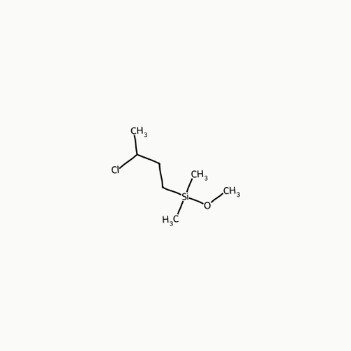 CO[Si](C)(C)CCC(C)Cl